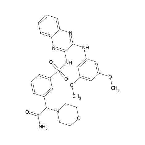 COc1cc(Nc2nc3ccccc3nc2NS(=O)(=O)c2cccc(C(C(N)=O)N3CCOCC3)c2)cc(OC)c1